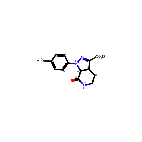 CCOC(=O)C1=NN(c2ccc(OC)cc2)C2C(=O)NCCC12